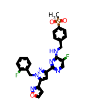 CS(=O)(=O)c1ccc(CNc2nc(-c3cc(-c4ccon4)n(Cc4ccccc4F)n3)ncc2F)cc1